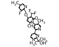 Cc1cnc(COc2cc(C)n(-c3cc(-c4ccnc(C(C)(C)O)n4)ncc3C)c(=O)c2C(F)F)c(F)c1